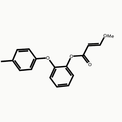 COC=CC(=O)Oc1ccccc1Oc1ccc(C)cc1